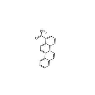 NC(=O)c1cccc2c1ccc1c3ccccc3ccc21